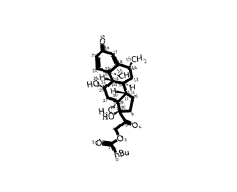 CCCCC(=O)OCC(=O)[C@@]1(O)CC[C@H]2[C@@H]3C[C@H](C)C4=CC(=O)C=C[C@]4(C)[C@H]3[C@@H](O)C[C@@]21C